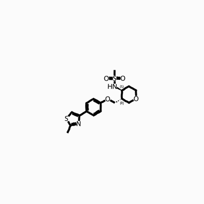 Cc1nc(-c2ccc(OC[C@H]3COCC[C@@H]3NS(C)(=O)=O)cc2)cs1